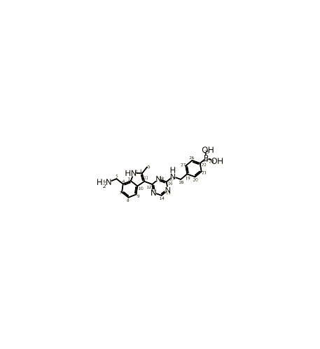 Cc1[nH]c2c(CN)cccc2c1-c1ncnc(NCc2ccc(B(O)O)cc2)n1